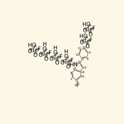 Fc1ccc2[nH]c(-c3ccccc3)cc2c1.O=[Te](=O)(O)F.O=[Te](=O)(O)F.O=[Te](=O)(O)F.O=[Te](=O)(O)F.O=[Te](=O)(O)F.O=[Te](=O)(O)F